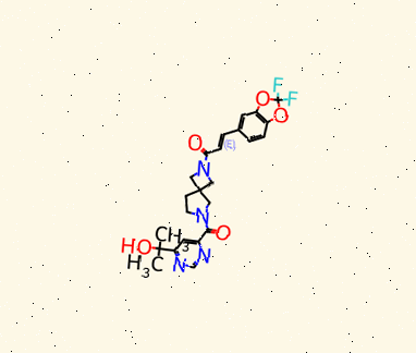 CC(C)(O)c1cc(C(=O)N2CCC3(CN(C(=O)/C=C/c4ccc5c(c4)OC(F)(F)O5)C3)C2)ncn1